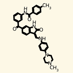 Cc1ccc(C(=O)Nc2cccc(C(=O)c3ccc4c(c3)NC(=O)C4=CNc3ccc(N4CCN(C)CC4)cc3)c2)cc1